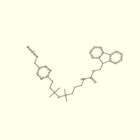 C[Si](C)(CCCNC(=O)OCC1c2ccccc2-c2ccccc21)O[Si](C)(C)CSc1ncc(CN=[N+]=[N-])cn1